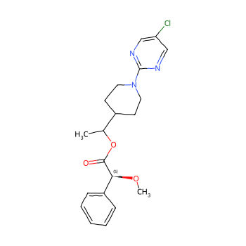 CO[C@H](C(=O)OC(C)C1CCN(c2ncc(Cl)cn2)CC1)c1ccccc1